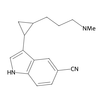 CNCCCC1CC1c1c[nH]c2ccc(C#N)cc12